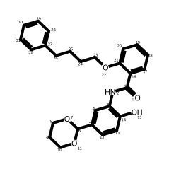 O=C(Nc1cc(C2OCCCO2)ccc1O)c1ccccc1OCCCCc1ccccc1